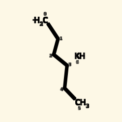 [CH2]CCCCC.[KH]